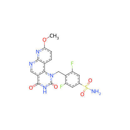 COc1ccc2c(ncc3c(=O)[nH]c(=O)n(Cc4c(F)cc(S(N)(=O)=O)cc4F)c32)n1